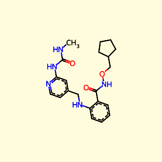 CNC(=O)Nc1cc(CNc2ccccc2C(=O)NOCC2CCCC2)ccn1